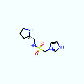 O=S(=O)(C[n+]1cc[nH]c1)NC[C@@H]1CCCN1